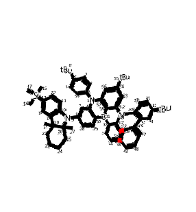 CC(C)(C)c1ccc(N2c3cc(N4c5ccc([Si](C)(C)C)cc5C5(C)CCCCC45C)ccc3B3c4ccccc4N(c4ccc(C(C)(C)C)cc4-c4ccccc4)c4cc(C(C)(C)C)cc2c43)cc1